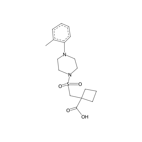 Cc1ccccc1N1CCN(S(=O)(=O)CC2(C(=O)O)CCC2)CC1